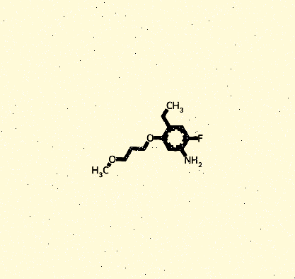 CCc1cc(F)c(N)cc1OCCCOC